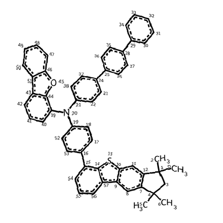 CC1(C)CC(C)(C)c2cc3c(cc21)sc1c(-c2ccc(N(c4ccc(-c5ccc(-c6ccccc6)cc5)cc4)c4cccc5c4oc4ccccc45)cc2)cccc13